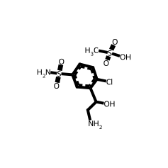 CS(=O)(=O)O.NCC(O)c1cc(S(N)(=O)=O)ccc1Cl